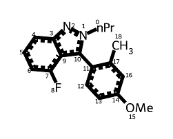 CCCn1nc2cccc(F)c2c1-c1ccc(OC)cc1C